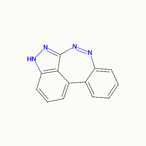 c1ccc2c(c1)N=Nc1n[nH]c3cccc-2c13